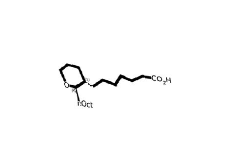 CCCCCCCC[C@H]1OCCC[C@@H]1CCCCCCC(=O)O